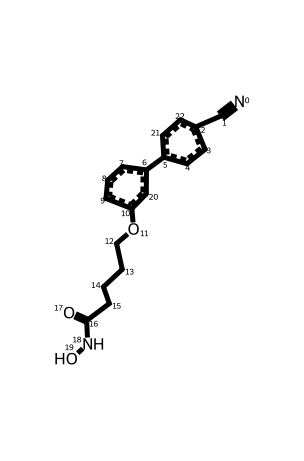 N#Cc1ccc(-c2cccc(OCCCCC(=O)NO)c2)cc1